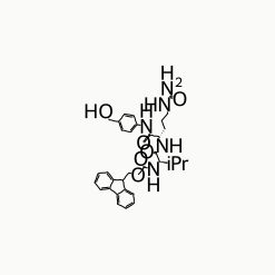 CC(C)[C@@H](NC(=O)OCC1c2ccccc2-c2ccccc21)C(=O)N[C@@H](CCCNC(N)=O)C(=O)Nc1ccc(CO)cc1